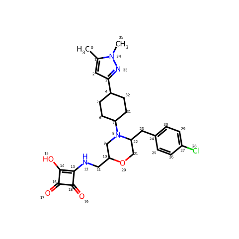 Cc1cc(C2CCC(N3CC(CNc4c(O)c(=O)c4=O)OCC3Cc3ccc(Cl)cc3)CC2)nn1C